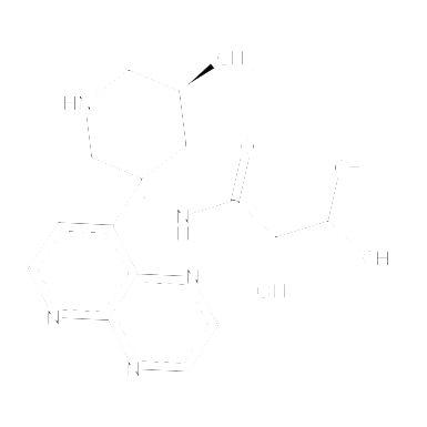 CC(C)[C@H](O)C(=O)N[C@]1(c2ccnc3nccnc23)CNC[C@@H](C)C1